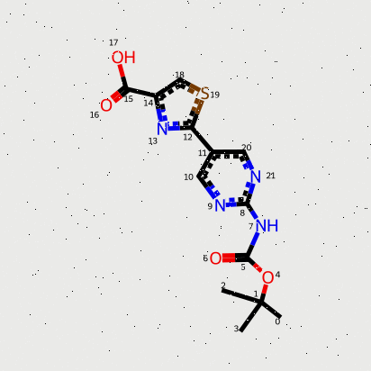 CC(C)(C)OC(=O)Nc1ncc(-c2nc(C(=O)O)cs2)cn1